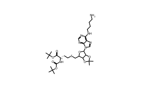 CC(C)(C)OC(=O)N[C@@H](CCSCC1OC(n2cnc3c(NCCCCN)ncnc32)C2OC(C)(C)OC12)C(=O)OC(C)(C)C